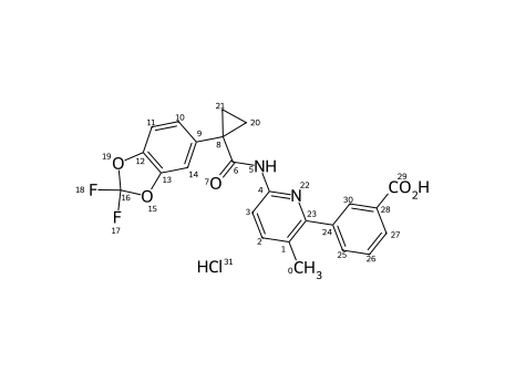 Cc1ccc(NC(=O)C2(c3ccc4c(c3)OC(F)(F)O4)CC2)nc1-c1cccc(C(=O)O)c1.Cl